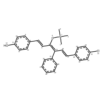 C[Si](C)(C)OC(C=Cc1ccc(O)cc1)=C(C=Cc1ccc(Cl)cc1)c1ccccc1